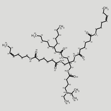 CC/C=C\CCCOC(=O)CCCCC(=O)OCC(COC(=O)CCCCC(=O)OCCC/C=C\CC)(COC(=O)CCCN(CC)C(C)C)COC(=O)CC(CCCCC)CCCCC